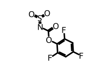 O=C(N=S(=O)=O)Oc1c(F)cc(F)cc1F